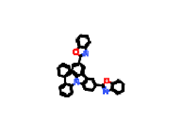 c1ccc(-c2ccccc2-n2c3ccc(-c4nc5ccccc5o4)cc3c3cc(-c4nc5ccccc5o4)ccc32)cc1